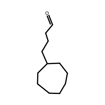 O=CCCCC1CCCCCCC1